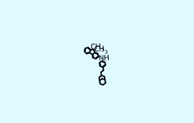 CC1(C)c2ccccc2-c2ccc(Nc3ccc(CCC4CC5CCCC(C5)C4)cc3)cc21